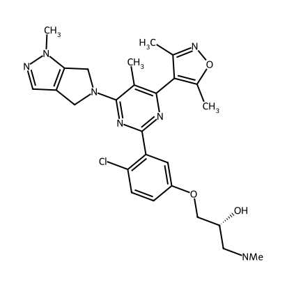 CNC[C@@H](O)COc1ccc(Cl)c(-c2nc(-c3c(C)noc3C)c(C)c(N3Cc4cnn(C)c4C3)n2)c1